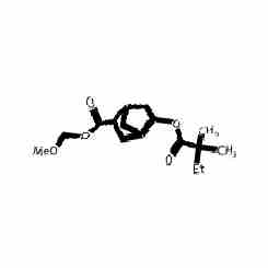 CCC(C)(C)C(=O)OC1CC2CC1CC2C(=O)OCOC